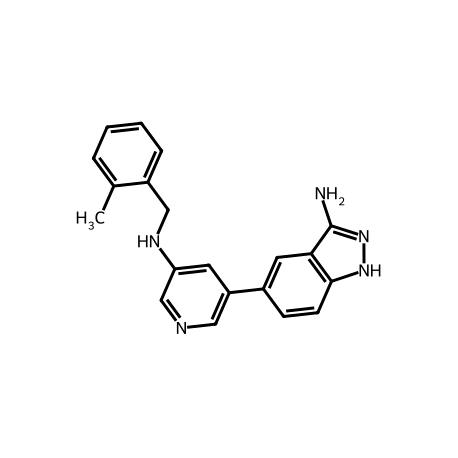 Cc1ccccc1CNc1cncc(-c2ccc3[nH]nc(N)c3c2)c1